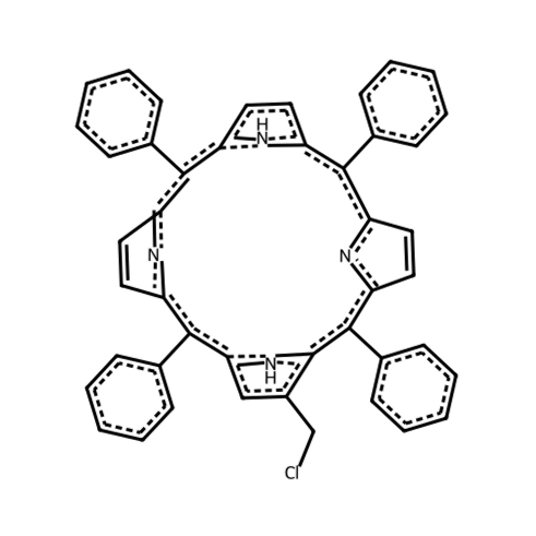 ClCc1cc2[nH]c1c(-c1ccccc1)c1nc(c(-c3ccccc3)c3ccc([nH]3)c(-c3ccccc3)c3nc(c2-c2ccccc2)C=C3)C=C1